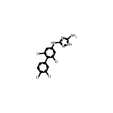 Nc1nc(Nc2cc(Cl)c(-c3ccc(Cl)c(Cl)c3)c(Cl)c2)n[nH]1